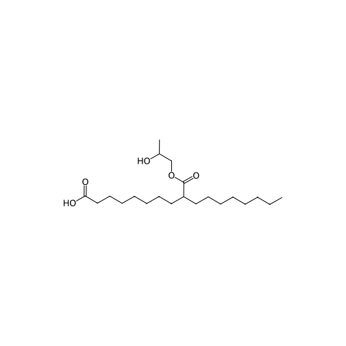 CCCCCCCCC(CCCCCCCC(=O)O)C(=O)OCC(C)O